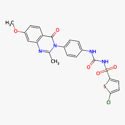 COc1ccc2c(=O)n(-c3ccc(NC(=O)NS(=O)(=O)c4ccc(Cl)s4)cc3)c(C)nc2c1